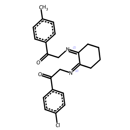 Cc1ccc(C(=O)C/N=C2/CCCC/C2=N/CC(=O)c2ccc(Cl)cc2)cc1